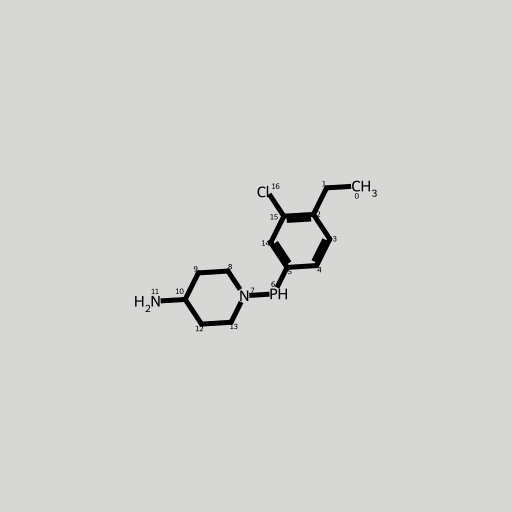 CCc1ccc(PN2CCC(N)CC2)cc1Cl